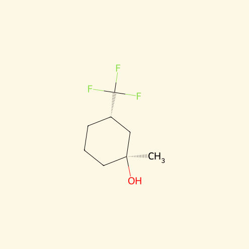 C[C@]1(O)CCC[C@H](C(F)(F)F)C1